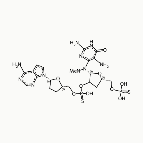 CNN(c1nc(N)[nH]c(=O)c1N)[C@@H]1O[C@H](COP(O)(O)=S)CC1OP(O)(=S)OC[C@@H]1CC[C@H](n2ccc3c(N)ncnc32)O1